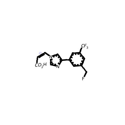 O=C(O)/C=C\n1cnc(-c2cc(CF)cc(C(F)(F)F)c2)c1